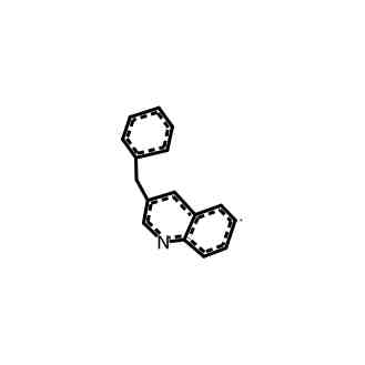 [c]1ccc2ncc(Cc3ccccc3)cc2c1